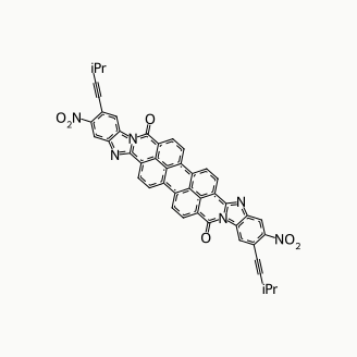 CC(C)C#Cc1cc2c(cc1[N+](=O)[O-])nc1c3ccc4c5ccc6c(=O)n7c8cc(C#CC(C)C)c([N+](=O)[O-])cc8nc7c7ccc(c8ccc(c(=O)n21)c3c84)c5c67